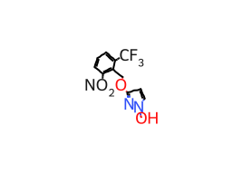 O=[N+]([O-])c1cccc(C(F)(F)F)c1COc1ccn(O)n1